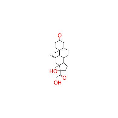 C=C1CC2(C)C(CCC2(O)C(=O)CO)C2CCC3=CC(=O)C=CC3(C)C12